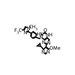 COc1ncnc(C2CC2)c1-c1ncc2c(n1)N(Cc1ccc(-c3nc(C(F)(F)F)cn3C)cc1)NC(=O)N2